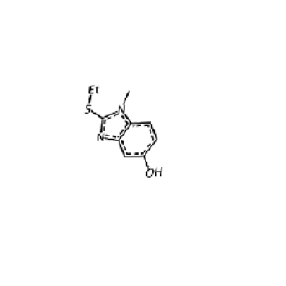 CCSc1nc2cc(O)ccc2n1C